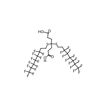 O=C(O)CCC(CCC(=O)O)(SCCC(F)(F)C(F)(F)C(F)(F)C(F)(F)C(F)(F)C(F)(F)F)SCCC(F)(F)C(F)(F)C(F)(F)C(F)(F)C(F)(F)C(F)(F)F